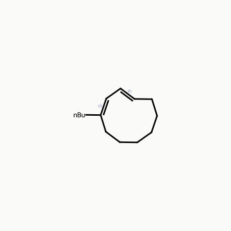 CCCC/C1=C/C=C/CCCCCC1